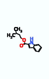 CC(C)CCOC(=O)c1cc2ccccc2[nH]1